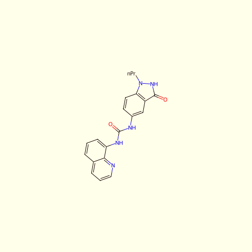 CCCn1[nH]c(=O)c2cc(NC(=O)Nc3cccc4cccnc34)ccc21